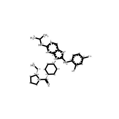 CC(C)Nc1ncc2nc(Nc3ccc(F)cc3F)n([C@H]3CC[C@@H](C(=O)N4CCC[C@@H]4CO)CC3)c2n1